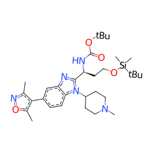 Cc1noc(C)c1-c1ccc2c(c1)nc([C@H](CCO[Si](C)(C)C(C)(C)C)NC(=O)OC(C)(C)C)n2C1CCN(C)CC1